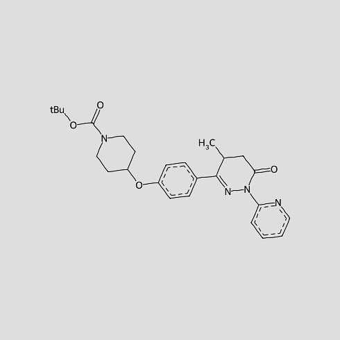 CC1CC(=O)N(c2ccccn2)N=C1c1ccc(OC2CCN(C(=O)OC(C)(C)C)CC2)cc1